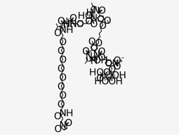 COc1cc2c(cc1OCCCCCOc1cc3c(cc1OC)C(=O)N1C=C(C)C[C@H]1[C@H](O)N3C(=O)OCc1ccc(O[C@@H]3O[C@H](C(=O)O)[C@@H](O)[C@H](O)[C@H]3O)c([N+](=O)[O-])c1)N(C(=O)OCc1ccc(NC(=O)[C@H](C)NC(=O)[C@@H](NC(=O)CCOCCOCCOCCOCCOCCOCCOCCOCCNC(=O)CCN3C(=O)C=CC3=O)C(C)C)cc1)[C@@H](O)[C@@H]1CC(C)=CN1C2=O